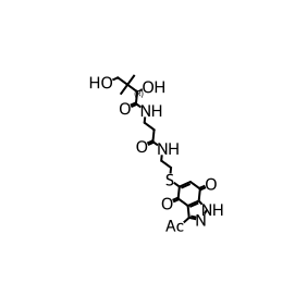 CC(=O)c1n[nH]c2c1C(=O)C(SCCNC(=O)CCNC(=O)[C@H](O)C(C)(C)CO)=CC2=O